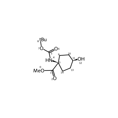 COC(=O)[C@]1(NC(=O)OC(C)(C)C)CC[C@@H](O)CC1